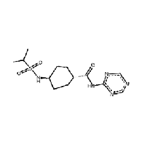 CC(C)S(=O)(=O)N[C@H]1CC[C@H](C(=O)Nc2ncncn2)CC1